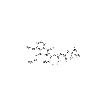 COCOc1c(OC)cccc1C(=O)N[C@@H]1CN(OC(=O)OC(C)(C)C)CCC[C@H]1O